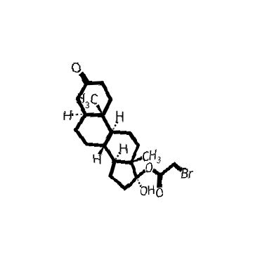 C[C@]12CCC(=O)C[C@@H]1CC[C@@H]1[C@@H]2CC[C@@]2(C)[C@H]1CC[C@]2(O)OC(=O)CBr